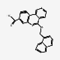 O=C(O)c1c#cc2c(c1)nc(NCc1cccc3ccccc13)c1ccncc12